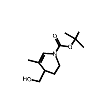 CC1=CN(C(=O)OC(C)(C)C)CCC1CO